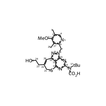 COc1c(C)cnc(Cn2nc3c4c(nc(N(C(=O)O)C(C)(C)C)nc42)SCC(CCO)=C3)c1C